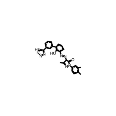 CC1=NN(c2ccc(C)c(C)c2)C(=O)C1/N=N/c1cccc(-c2cccc(-c3nnn[nH]3)c2)c1O